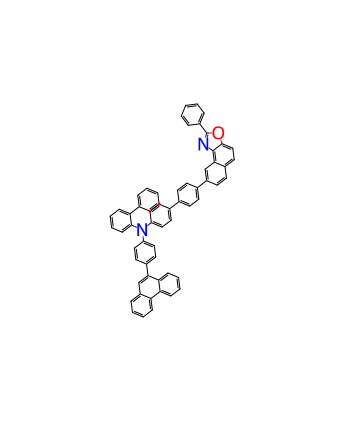 c1ccc(-c2nc3c(ccc4ccc(-c5ccc(-c6ccc(N(c7ccc(-c8cc9ccccc9c9ccccc89)cc7)c7ccccc7-c7ccccc7)cc6)cc5)cc43)o2)cc1